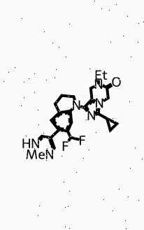 CCN1Cc2c(N3CCCc4cc(/C(C=N)=C/NC)c(C(F)F)cc43)nc(C3CC3)n2CC1=O